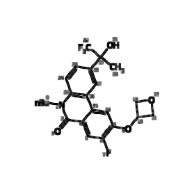 CCCCn1c(=O)c2cc(F)c(OC3COC3)cc2c2cc(C(C)(O)C(F)(F)F)ccc21